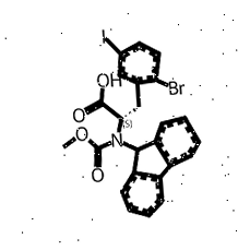 COC(=O)N(C1c2ccccc2-c2ccccc21)[C@@H](Cc1cc(I)ccc1Br)C(=O)O